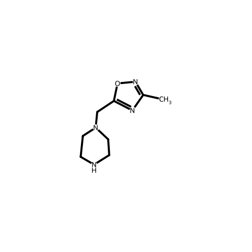 Cc1noc(CN2CCNCC2)n1